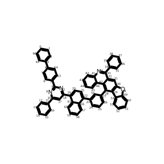 c1ccc(-c2ccc(-c3nc(-c4ccccc4)cc(-c4ccc(-c5cccc(-c6c7c(cc8c(-c9ccccc9)nc9ccccc9c68)oc6ccccc67)c5)c5ccccc45)n3)cc2)cc1